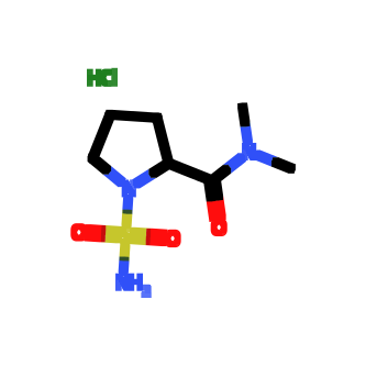 CN(C)C(=O)C1CCCN1S(N)(=O)=O.Cl